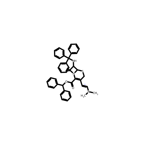 CN(C)/C=C/C1=C(C(=O)OC(c2ccccc2)c2ccccc2)N2C(=O)C(NC(c3ccccc3)(c3ccccc3)c3ccccc3)C2SC1